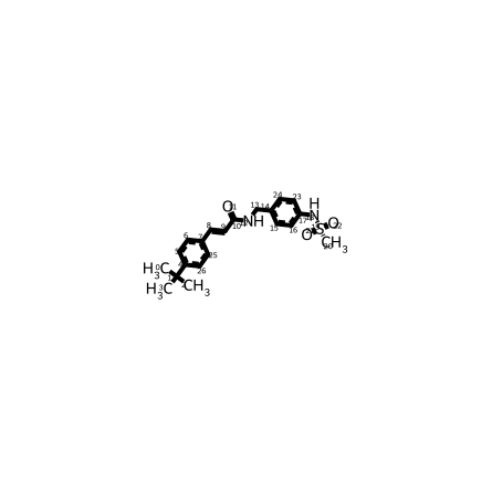 CC(C)(C)c1ccc(/C=C/C(=O)NCc2ccc(NS(C)(=O)=O)cc2)cc1